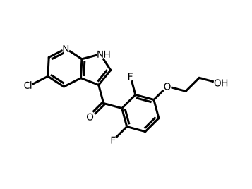 O=C(c1c(F)ccc(OCCO)c1F)c1c[nH]c2ncc(Cl)cc12